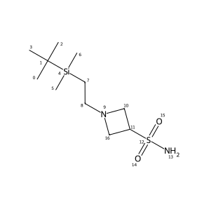 CC(C)(C)[Si](C)(C)CCN1CC(S(N)(=O)=O)C1